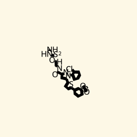 CS(=O)(=O)c1cccc(-c2ccc(-c3cc(C(=O)NCCOC(=S)NN)nn3-c3ccccc3Cl)s2)c1